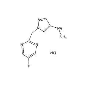 CNc1cnn(Cc2ncc(F)cn2)c1.Cl